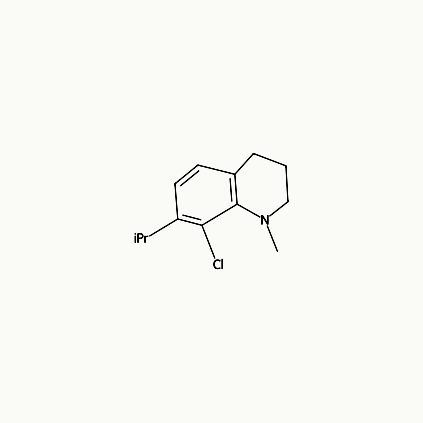 CC(C)c1ccc2c(c1Cl)N(C)CCC2